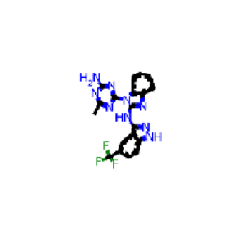 Cc1nc(N)nc(-n2c(Nc3n[nH]c4ccc(C(F)(F)F)cc34)nc3ccccc32)n1